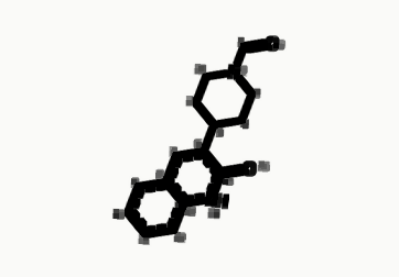 O=CN1CCC(c2cc3ccccc3[nH]c2=O)CC1